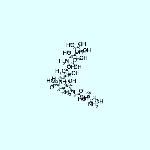 CC(O)CO.CC(O)CO.NCC(=O)O.NCC(=O)O.N[C@@H](CO)C(=O)O.N[C@@H](Cc1ccccc1)C(=O)O.OCC(O)CO.OCC(O)CO